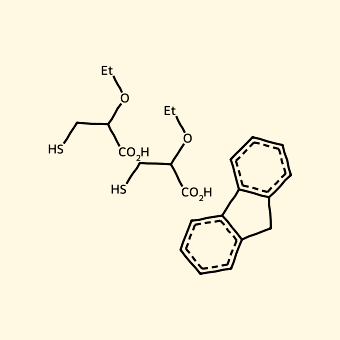 CCOC(CS)C(=O)O.CCOC(CS)C(=O)O.c1ccc2c(c1)Cc1ccccc1-2